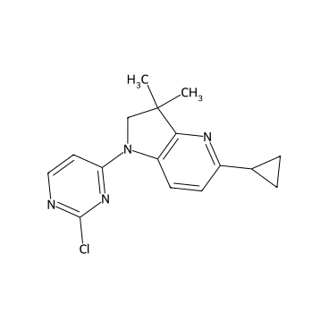 CC1(C)CN(c2ccnc(Cl)n2)c2ccc(C3CC3)nc21